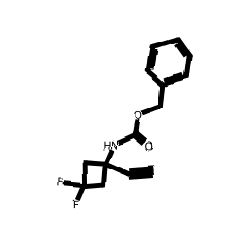 C#CC1(NC(=O)OCc2ccccc2)CC(F)(F)C1